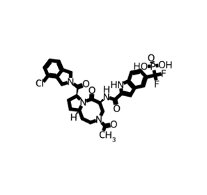 CC(=O)N1CC[C@H]2CC[C@@H](C(=O)N3Cc4cccc(Cl)c4C3)N2C(=O)[C@@H](NC(=O)c2cc3cc(C(F)(F)P(=O)(O)O)ccc3[nH]2)C1